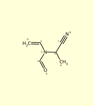 C=CN(C=O)C(C)C#N